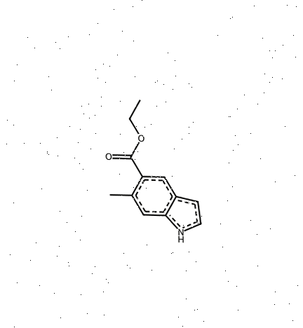 CCOC(=O)c1cc2cc[nH]c2cc1C